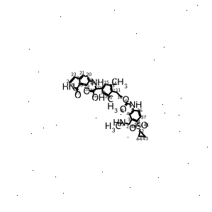 CNCc1cc(NC(=O)OCCc2c(C)cc(C(Nc3ccc4cc[nH]c(=O)c4c3)C(=O)O)cc2C)ccc1S(=O)(=O)C1CC1